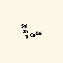 [Cu].[Ga].[Sn].[Ti].[Zn]